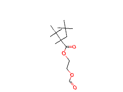 CC(C)(C)CC(C)(C(=O)OCCOC=O)C(C)(C)C